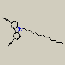 CC#Cc1ccc2c(c1)c1cc(C#CC)ccc1n2CCCCCCCCCCCCCC